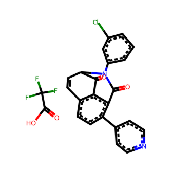 O=C(O)C(F)(F)F.O=C1c2c3ccc(-c4ccncc4)c2C(=O)N(c2cccc(Cl)c2)C1C=C3